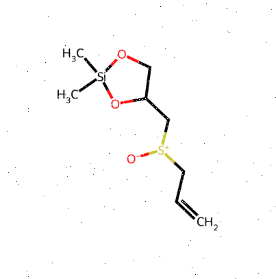 C=CC[S+]([O-])CC1CO[Si](C)(C)O1